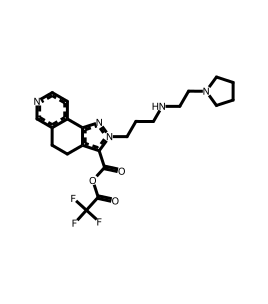 O=C(OC(=O)C(F)(F)F)c1c2c(nn1CCCNCCN1CCCC1)-c1ccncc1CC2